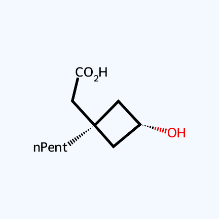 CCCCC[C@]1(CC(=O)O)C[C@H](O)C1